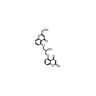 CCc1cc(=O)c2c(OCC(O)COc3cccc4oc(CO)cc(=O)c34)cccc2o1